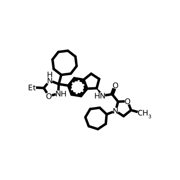 CCC1NC(c2ccc3c(c2)CC[C@H]3NC(=O)C2OC(C)CN2C2CCCCCC2)(C2CCCCCCC2)NO1